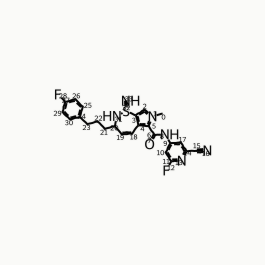 Cn1cc2c(c1C(=O)Nc1cc(F)nc(C#N)c1)C=CC(CCCc1ccc(F)cc1)NS2=N